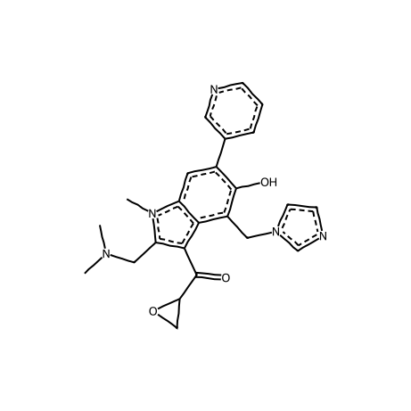 CN(C)Cc1c(C(=O)C2CO2)c2c(Cn3ccnc3)c(O)c(-c3cccnc3)cc2n1C